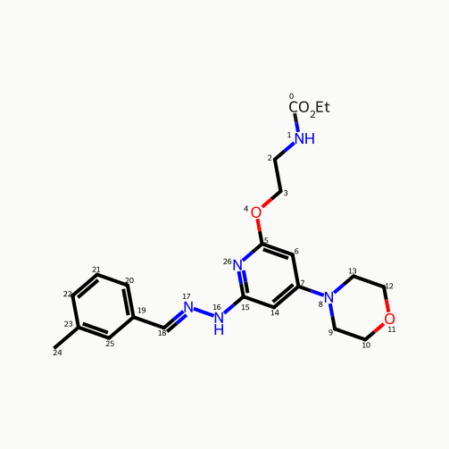 CCOC(=O)NCCOc1cc(N2CCOCC2)cc(NN=Cc2cccc(C)c2)n1